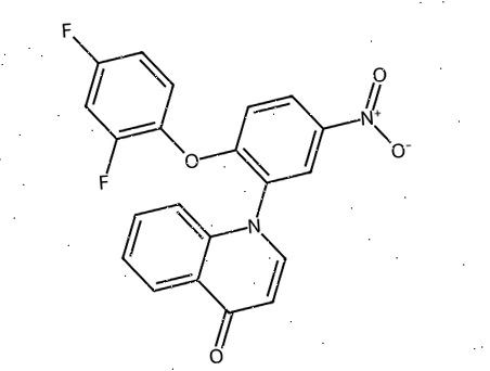 O=c1ccn(-c2cc([N+](=O)[O-])ccc2Oc2ccc(F)cc2F)c2ccccc12